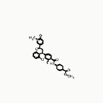 COC(=O)C1CCC(NC(=O)c2ccc(C(CC(=O)c3ccc(=O)n(C)c3)c3ccccc3Cl)cc2F)CC1